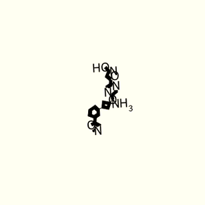 N.Oc1cc(-c2cnc(O[C@H]3C[C@@H](c4cccc(-c5cnco5)c4)C3)cn2)on1